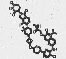 CNC(=O)COc1cc2cc(Nc3nc(N4CCC(OC5CC(N6CC[C@@H](c7ccc8c(c7F)CN(C7CCC(=O)NC7=O)C8=O)C(C)(C)C6)C5)CC4)ncc3Cl)ccc2n(C(C)C)c1=O